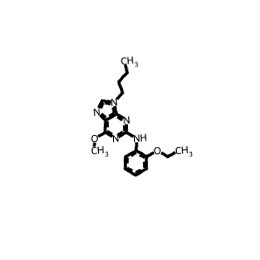 CCCCn1cnc2c(OC)nc(Nc3ccccc3OCC)nc21